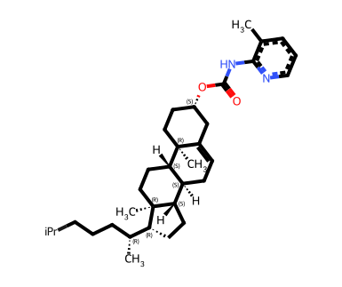 Cc1cccnc1NC(=O)O[C@H]1CC[C@@]2(C)C(=CC[C@H]3[C@@H]4CC[C@H]([C@H](C)CCCC(C)C)[C@@]4(C)CC[C@@H]32)C1